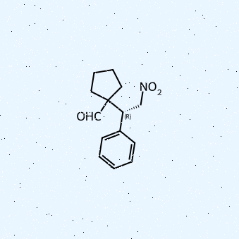 O=CC1([C@H](C[N+](=O)[O-])c2ccccc2)CCCC1